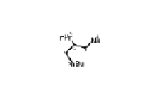 CCCCCC([CH2][Na])CCC